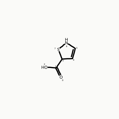 O=C(O)C1C=CNS1